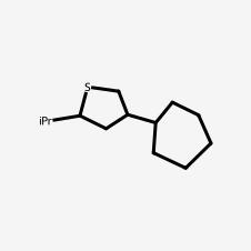 CC(C)C1CC(C2CCCCC2)CS1